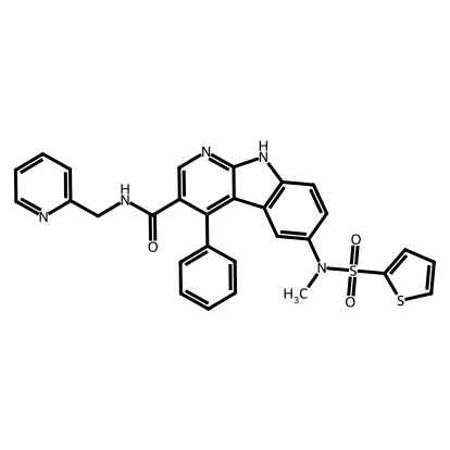 CN(c1ccc2[nH]c3ncc(C(=O)NCc4ccccn4)c(-c4ccccc4)c3c2c1)S(=O)(=O)c1cccs1